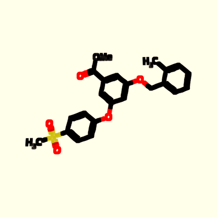 COC(=O)c1cc(OCc2ccccc2C)cc(Oc2ccc(S(C)(=O)=O)cc2)c1